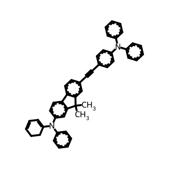 CC1(C)c2cc(C#Cc3ccc(N(c4ccccc4)c4ccccc4)cc3)ccc2-c2ccc(N(C3=CC=CCC3)c3ccccc3)cc21